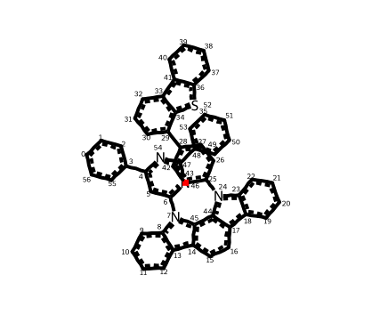 c1ccc(-c2cc(-n3c4ccccc4c4ccc5c6ccccc6n(-c6ccc(-c7cccc8c7sc7ccccc78)cc6)c5c43)nc(-c3ccccc3)n2)cc1